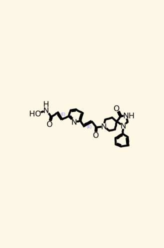 O=C(/C=C/c1cccc(/C=C/C(=O)N2CCC3(CC2)C(=O)NCN3c2ccccc2)n1)NO